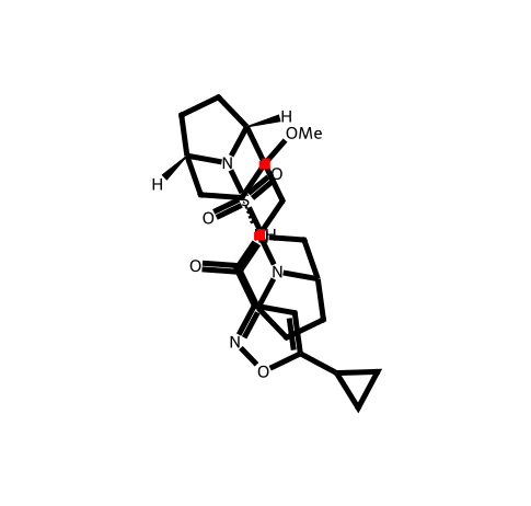 COCCCN1C2CCC1CN(S(=O)(=O)N1[C@@H]3CC[C@H]1C[C@@H](NC(=O)c1cc(C4CC4)on1)C3)C2